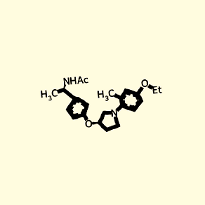 CCOc1ccc(N2CC[C@@H](Oc3ccc([C@H](C)NC(C)=O)cc3)C2)c(C)c1